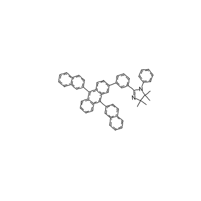 CC1(C)N=C(c2cccc(-c3ccc4c(-c5ccc6ccccc6c5)c5ccccc5c(-c5ccc6ccccc6c5)c4c3)c2)N(c2ccccc2)C1(C)C